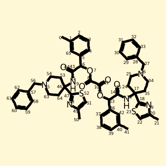 Cc1cccc(C(OC(=O)C(=O)OC(C(=O)NC2(c3nc(C)cs3)CCN(Cc3ccccc3)CC2)c2cccc(C)c2)C(=O)NC2(c3nc(C)cs3)CCN(Cc3ccccc3)CC2)c1